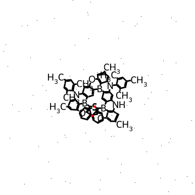 Cc1cc(C)c(N2c3cc4c(cc3B3c5cc6c(cc5Oc5cc(C)cc2c53)N(c2c(C)cc(C)cc2C)c2cc(C)cc3c2B6c2sc5ccccc5c2O3)B2c3sc5ccccc5c3Oc3cc(C)cc(c32)N4)c(C)c1